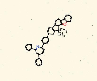 CC1(C)C2=C(C=CC(c3ccc(C4=C=CC(c5ccccc5)=CC(c5ccccc5)=N4)cc3)C2)c2ccc3c(oc4ccccc43)c21